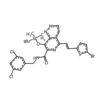 CC(C)(C)[Si](C)(C)Oc1c(C(=O)NCc2cc(Cl)cc(Cl)c2)nc(/C=C/c2ccc(Br)s2)c2ccnnc12